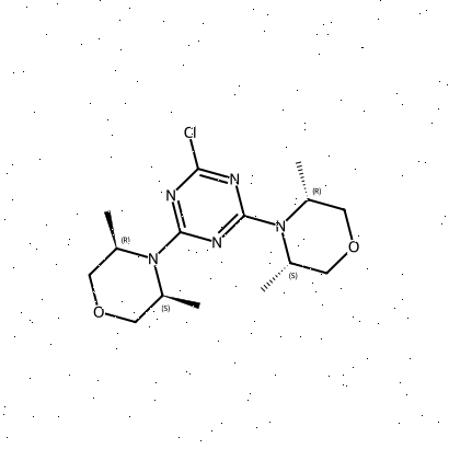 C[C@@H]1COC[C@H](C)N1c1nc(Cl)nc(N2[C@H](C)COC[C@@H]2C)n1